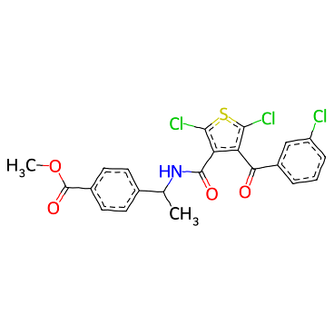 COC(=O)c1ccc(C(C)NC(=O)c2c(Cl)sc(Cl)c2C(=O)c2cccc(Cl)c2)cc1